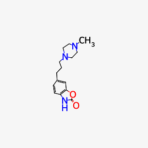 CN1CCN(CCCc2ccc3[nH]c(=O)oc3c2)CC1